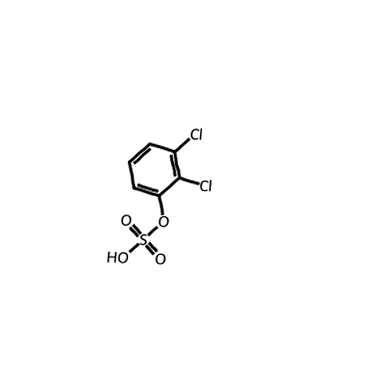 O=S(=O)(O)Oc1cccc(Cl)c1Cl